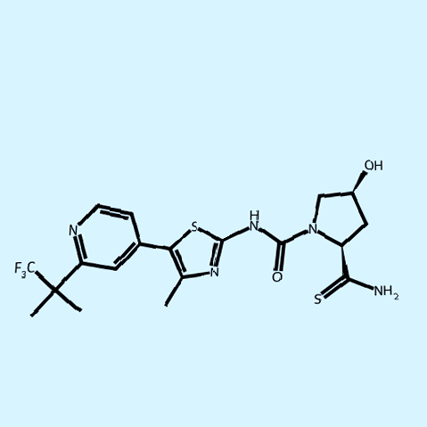 Cc1nc(NC(=O)N2C[C@@H](O)C[C@H]2C(N)=S)sc1-c1ccnc(C(C)(C)C(F)(F)F)c1